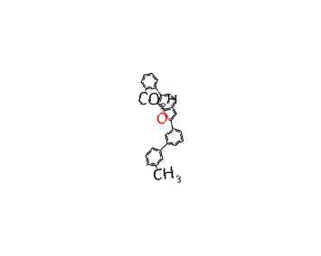 Cc1cccc(-c2cccc(-c3cc4ccc(-c5ccccc5C(=O)O)cc4o3)c2)c1